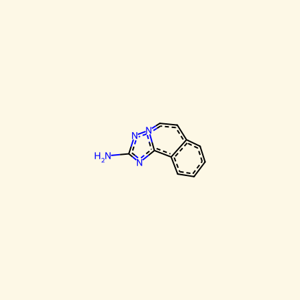 Nc1nc2c3ccccc3ccn2n1